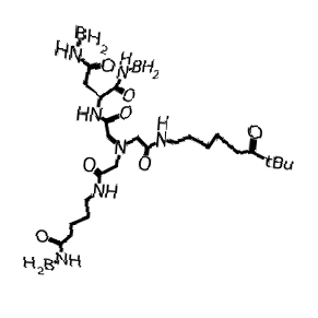 BNC(=O)CCCCNC(=O)CN(CC(=O)NCCCCCC(=O)C(C)(C)C)CC(=O)N[C@@H](CC(=O)NB)C(=O)NB